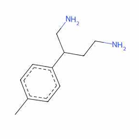 Cc1ccc(C(CN)CCN)cc1